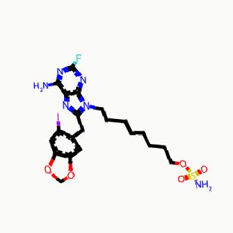 Nc1nc(F)nc2c1nc(Cc1cc3c(cc1I)OCO3)n2CCCCCCCCOS(N)(=O)=O